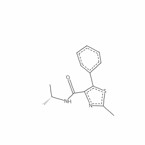 [CH2][C@H](C)NC(=O)c1nc(C)sc1-c1ccccc1